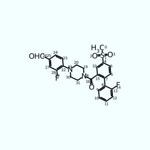 CS(=O)(=O)c1ccc(-c2ccccc2F)c(C(=O)N2CCN(c3ccc(C=O)cc3F)CC2)c1